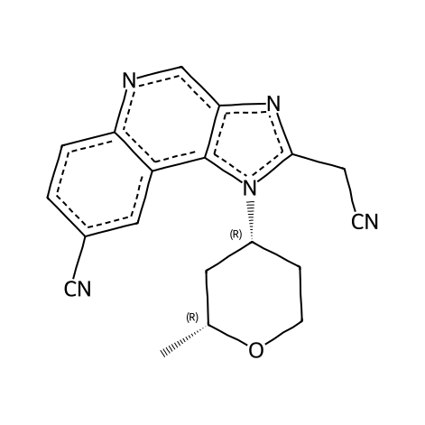 C[C@@H]1C[C@H](n2c(CC#N)nc3cnc4ccc(C#N)cc4c32)CCO1